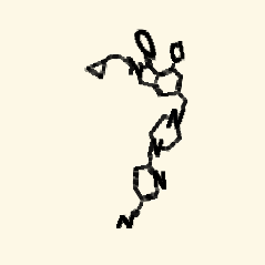 N#Cc1ccc(N2CCN(Cc3cc(Cl)c4c(c3)CN(CC3CC3)C4=O)CC2)nc1